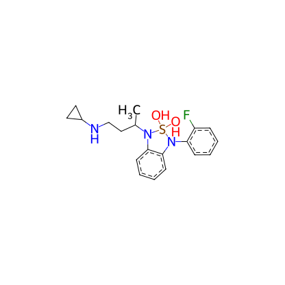 CC(CCNC1CC1)N1c2ccccc2N(c2ccccc2F)S1(O)O